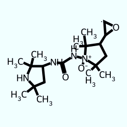 CC1(C)CC(NC(=O)N[N+]2([O-])C(C)(C)CC(C3[CH]O3)C2(C)C)C(C)(C)N1